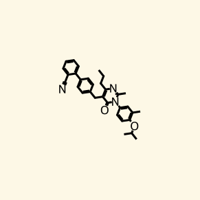 CCCc1nc(C)n(-c2ccc(OC(C)C)c(C)c2)c(=O)c1Cc1ccc(-c2ccccc2C#N)cc1